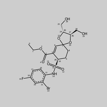 CCOC(=O)C1=CC2(CC[C@H]1S(=O)(=O)Nc1ccc(F)cc1Br)O[C@H](CO)[C@@H](CO)O2